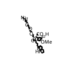 COc1ccc([C@@H](CC(=O)O)N(CCOCCOCCOCCN=[N+]=[N-])C(=O)CCCCc2ccc3c(n2)NCCC3)cc1F